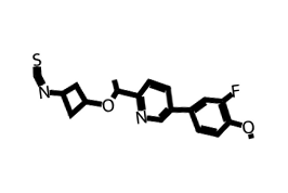 COc1ccc(-c2ccc(C(C)OC3CC(N=C=S)C3)nc2)cc1F